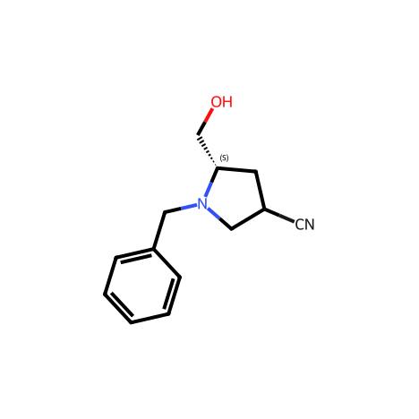 N#CC1C[C@@H](CO)N(Cc2ccccc2)C1